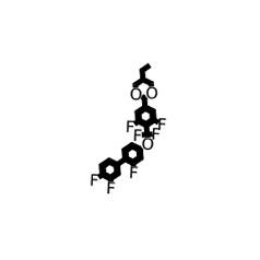 CCC1COC(c2cc(F)c(C(F)(F)Oc3ccc(-c4ccc(F)c(F)c4)c(F)c3)c(F)c2)OC1